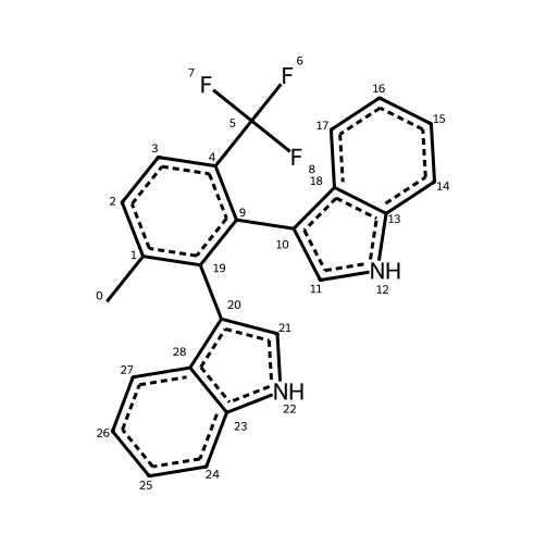 Cc1ccc(C(F)(F)F)c(-c2c[nH]c3ccccc23)c1-c1c[nH]c2ccccc12